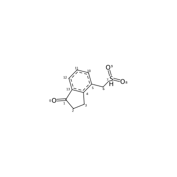 O=C1CCc2c(C[SH](=O)=O)cccc21